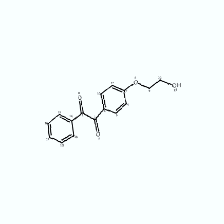 O=C(C(=O)c1ccc(OCCO)cc1)c1ccccc1